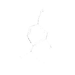 CCC(C(=O)O)c1ccc(Br)cc1F